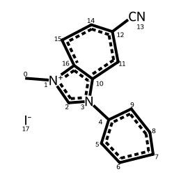 C[n+]1cn(-c2ccccc2)c2cc(C#N)ccc21.[I-]